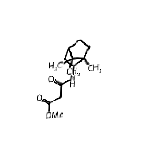 COC(=O)CC(=O)NC1CC2CCC1(C)C2(C)C